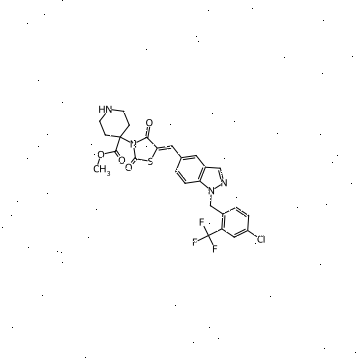 COC(=O)C1(N2C(=O)S/C(=C\c3ccc4c(cnn4Cc4ccc(Cl)cc4C(F)(F)F)c3)C2=O)CCNCC1